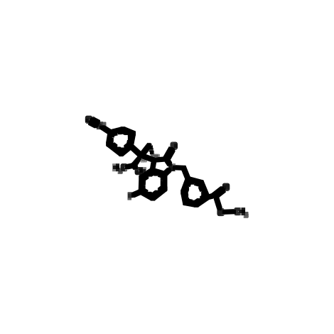 [C-]#[N+]c1ccc([C@]2(C(C)C)C[C@@]23C(=O)N(Cc2cccc(C(=O)OC)c2)c2ccc(F)cc23)cc1